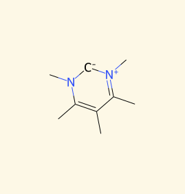 CC1=C(C)N(C)[CH-][N+](C)=C1C